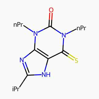 CCCn1c(=S)c2[nH]c(C(C)C)nc2n(CCC)c1=O